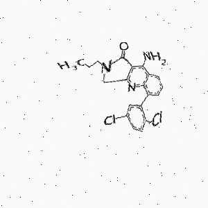 CCCN1Cc2nc3c(-c4cc(Cl)ccc4Cl)cccc3c(N)c2C1=O